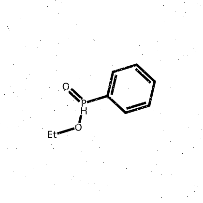 CCO[PH](=O)c1ccccc1